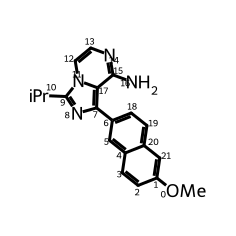 COc1ccc2cc(-c3nc(C(C)C)n4ccnc(N)c34)ccc2c1